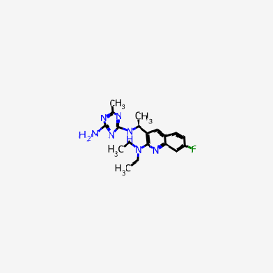 CCN(CC)c1nc2cc(F)ccc2cc1[C@H](C)Nc1nc(C)nc(N)n1